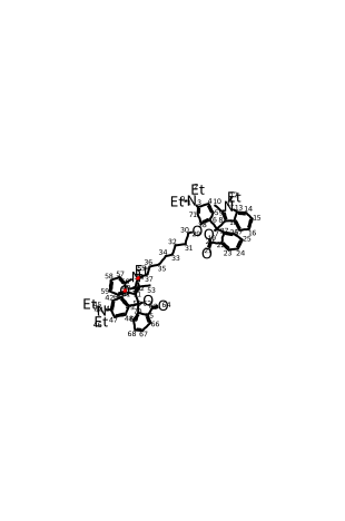 CCN(CC)c1ccc(C2(c3c(C)n(CC)c4ccccc34)OC(=O)c3ccccc32)c(OCCCCCCCCCCOc2cc(N(CC)CC)ccc2C2(c3c(C)n(CC)c4ccccc34)OC(=O)c3ccccc32)c1